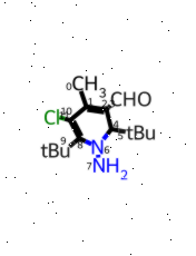 CC1=C(C=O)C(C(C)(C)C)N(N)C(C(C)(C)C)=C1Cl